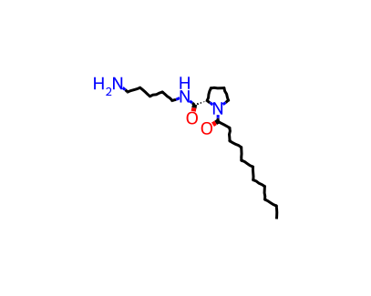 CCCCCCCCCCC(=O)N1CCC[C@H]1C(=O)NCCCCCN